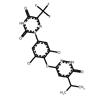 CC(C)c1cc(Oc2c(Cl)cc(-n3nc(C(F)(F)F)c(=O)[nH]c3=O)cc2Cl)n[nH]c1=O